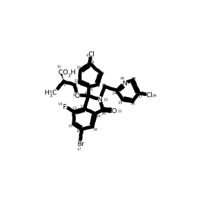 C[C@@H](COC1(c2ccc(Cl)cc2)c2c(F)cc(Br)cc2C(=O)N1Cc1ccc(Cl)cn1)C(=O)O